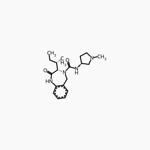 CC[C@H](C)[C@H]1C(=O)Nc2ccccc2CN1C(=O)N[C@H]1CCN(C)C1